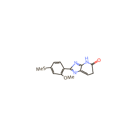 COc1cc(SC)ccc1C1=NC2=CCC(=O)NC2=N1